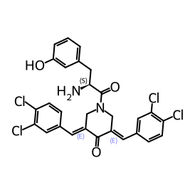 N[C@@H](Cc1cccc(O)c1)C(=O)N1C/C(=C\c2ccc(Cl)c(Cl)c2)C(=O)/C(=C/c2ccc(Cl)c(Cl)c2)C1